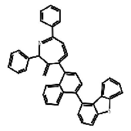 C=C1C(c2ccc(-c3cccc4sc5ccccc5c34)c3ccccc23)=C=CC(c2ccccc2)=NC1c1ccccc1